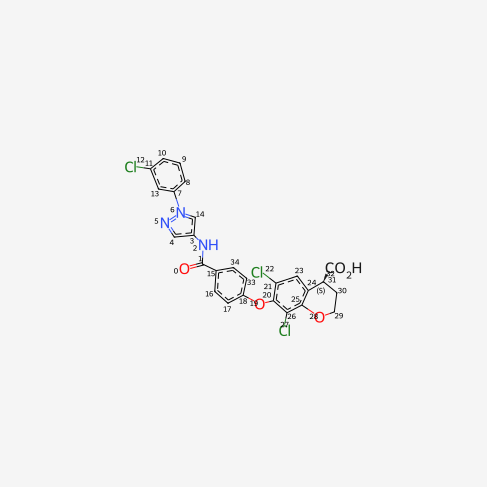 O=C(Nc1cnn(-c2cccc(Cl)c2)c1)c1ccc(Oc2c(Cl)cc3c(c2Cl)OCC[C@@H]3C(=O)O)cc1